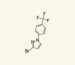 FC(F)(F)c1ccc(-n2ccc(Br)n2)cc1